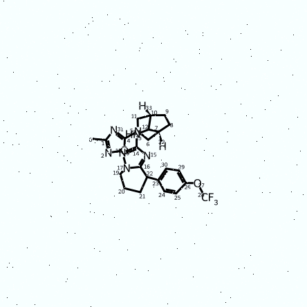 Cc1noc(N2C[C@H]3CC[C@@H](C2)C3Nc2nc3n(n2)CCCC3c2ccc(OC(F)(F)F)cc2)n1